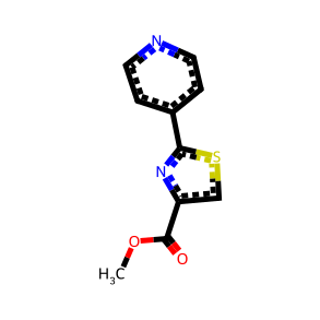 COC(=O)c1csc(-c2ccncc2)n1